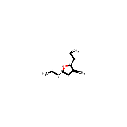 C=CC[C@@H]1O[C@@H](CCC)CC1=C